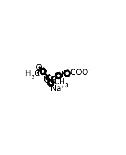 Cc1ccccc1[C@H](C/C(=N\O)c1ccc(=O)n(C)c1)c1ccc(N2CCC(C(=O)[O-])CC2)cc1.[Na+]